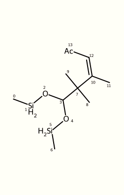 C[SiH2]OC(O[SiH2]C)C(C)(C)C(C)=CC(C)=O